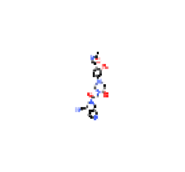 COc1cc(N2CCC(=O)N(CC(=O)N(CCC#N)Cc3cccnc3)CC2)ccc1-c1cnc(C)o1